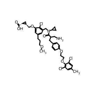 COCCCc1cc(CN(C(=O)C(CN)Cc2ccc(OCCOc3c(Cl)cc(C)cc3Cl)cc2)C2CC2)c(Cl)c(OC[C@@H]2C[C@H]2C(=O)O)c1